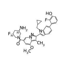 COc1cc(C(=O)N2C[C@H](N)C[C@@H](F)C2)cn2nc(-c3cc4ccc(-c5cccc(O)c5F)cc4n3CC3CC3)c(C)c12